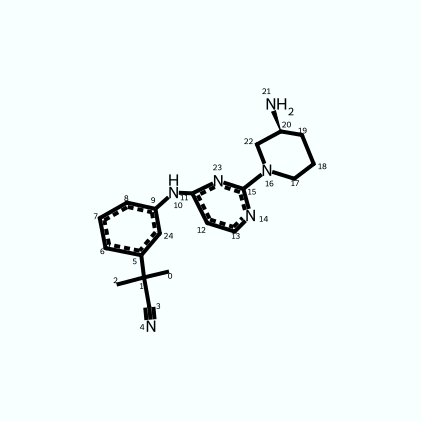 CC(C)(C#N)c1cccc(Nc2ccnc(N3CCC[C@H](N)C3)n2)c1